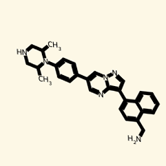 CC1CNCC(C)N1c1ccc(-c2cnc3c(-c4ccc(CN)c5ccccc45)cnn3c2)cc1